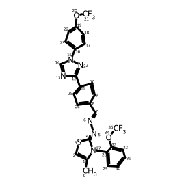 Cc1cs/c(=N\N=C\c2ccc(-c3ncn(-c4ccc(OC(F)(F)F)cc4)n3)cc2)n1-c1ccccc1OC(F)(F)F